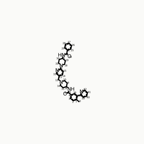 Cc1ccc(C(=O)NC2CCN(Cc3ccc(N4CCC(NC(=O)c5ccccc5)CC4)nc3)CC2)cc1-c1ccccn1